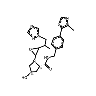 Cc1ncsc1-c1ccc(CNC(=O)[C@@H]2C[C@@H](O)CN2C2OC2C(C)Cn2cncn2)cc1